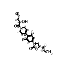 CNC(=O)[C@H]1CN(c2cc(F)c(C3=CCN(C(=O)[C@H](O)CP=O)CC3)c(F)c2)C(=O)O1